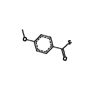 COc1ccc(C(=O)[S])cc1